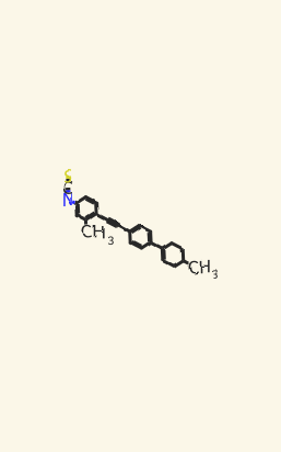 Cc1cc(N=C=S)ccc1C#Cc1ccc(C2=CCC(C)CC2)cc1